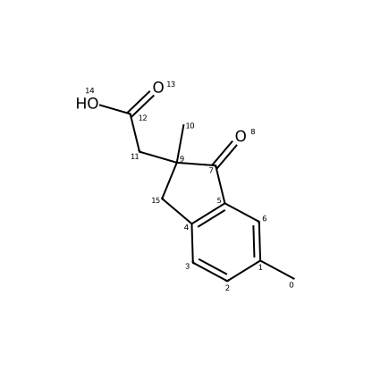 Cc1ccc2c(c1)C(=O)C(C)(CC(=O)O)C2